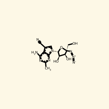 Cc1nc(N)c2c(C#N)cn([C@@H]3O[C@@](CO)(N=[N+]=[N-])[C@@H](O)[C@H]3O)c2n1